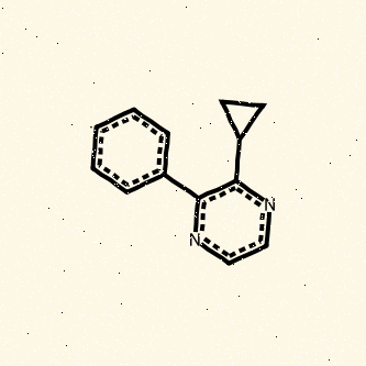 [c]1ccc(-c2nccnc2C2CC2)cc1